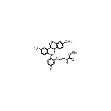 COc1ccc(NC(=O)c2cc(C(F)(F)F)ccc2Nc2ccc(F)cc2OCCNC(=O)OC(C)(C)C)c(Br)n1